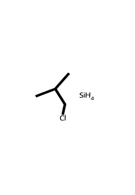 CC(C)CCl.[SiH4]